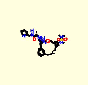 C[C@H](NCC1Cc2cccc(c2)CCCCc2cc(cc(N(C)S(=O)(=O)N(C)C)c2)CON1)C(=O)NCc1ccccn1